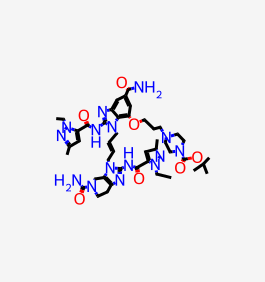 CCn1nc(C)cc1C(=O)Nc1nc2c(n1C/C=C/Cn1c(NC(=O)c3cc(C)nn3CC)nc3cc(C(N)=O)cc(OCCCN4CCN(C(=O)OC(C)(C)C)CC4)c31)CN(C(N)=O)CC2